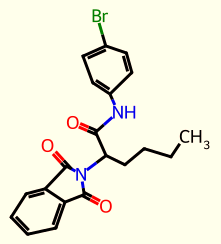 CCCCC(C(=O)Nc1ccc(Br)cc1)N1C(=O)c2ccccc2C1=O